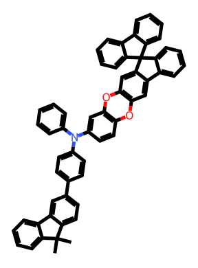 CC1(C)c2ccccc2-c2cc(-c3ccc(N(c4ccccc4)c4ccc5c(c4)Oc4cc6c(cc4O5)-c4ccccc4C64c5ccccc5-c5ccccc54)cc3)ccc21